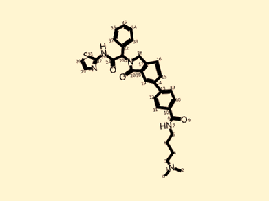 CN(C)CCCCNC(=O)c1ccc(-c2ccc3c(c2)C(=O)N(C(C(=O)Nc2nccs2)c2ccccc2)C3)cc1